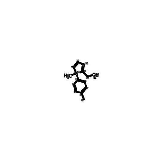 C[N+]1(c2ccc(F)cc2)C=CN=C1CO